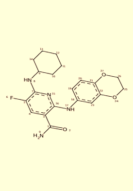 NC(=O)c1cc(F)c(NC2CCCCC2)nc1Nc1ccc2c(c1)OCCO2